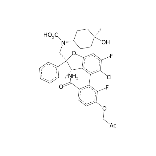 CC(=O)COc1ccc(C(N)=O)c(-c2c(Cl)c(F)cc3c2[C@H](C)[C@@](CN(C(=O)O)[C@H]2CC[C@](C)(O)CC2)(c2ccccc2)O3)c1F